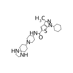 Cc1nn(C2CCCCC2)c2sc(C(=O)NC3CCN(C4CCC5(CC4)NCCN5)CC3)cc12